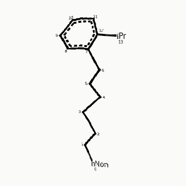 CCCCCCCCCCCCCCCc1ccccc1C(C)C